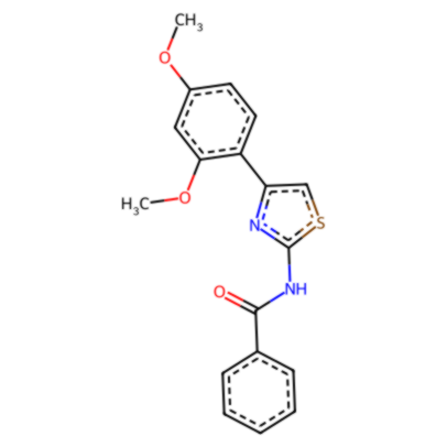 COc1ccc(-c2csc(NC(=O)c3ccccc3)n2)c(OC)c1